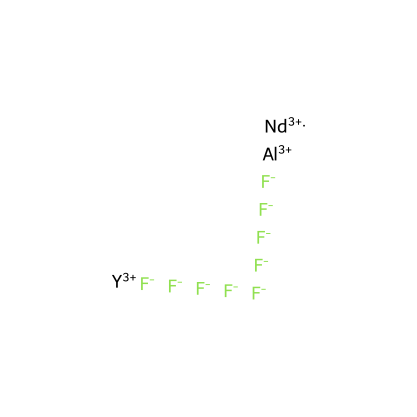 [Al+3].[F-].[F-].[F-].[F-].[F-].[F-].[F-].[F-].[F-].[Nd+3].[Y+3]